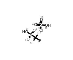 O=S(=O)(O)C(F)(F)F.O=S(=O)(O)Cl